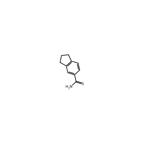 NC(=S)c1ccc2c(c1)CCC2